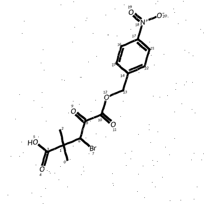 CC(C)(C(=O)O)C(Br)C(=O)C(=O)OCc1ccc([N+](=O)[O-])cc1